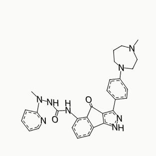 CN1CCCN(c2ccc(-c3n[nH]c4c3C(=O)c3c(NC(=O)NN(C)c5ccccn5)cccc3-4)cc2)CC1